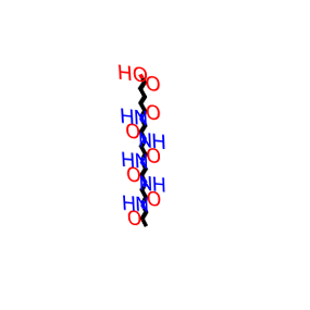 CC(=O)CNC(=O)CNC(=O)CNC(=O)CNC(=O)CNC(=O)CCCC(=O)O